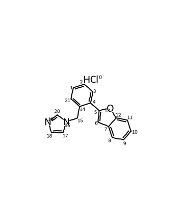 Cl.c1ccc(-c2cc3ccccc3o2)c(Cn2ccnc2)c1